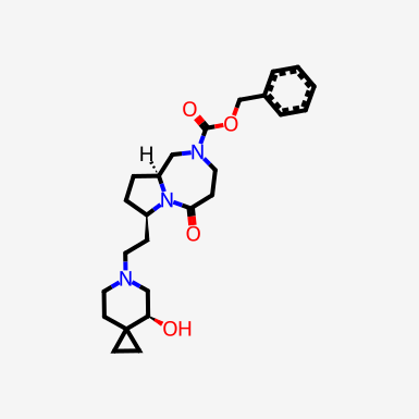 O=C(OCc1ccccc1)N1CCC(=O)N2[C@@H](CCN3CCC4(CC4)[C@H](O)C3)CC[C@H]2C1